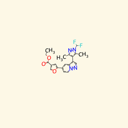 CCOC(=O)c1coc(-c2ccn3ncc(-c4c(C)nn(C(F)F)c4C)c3c2)c1